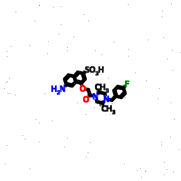 C[C@@H]1CN(C(=O)COc2cc(S(=O)(=O)O)cc3ccc(N)cc23)[C@@H](C)CN1Cc1ccc(F)cc1